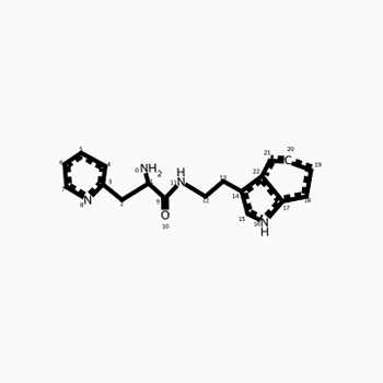 NC(Cc1ccccn1)C(=O)NCCc1c[nH]c2ccccc12